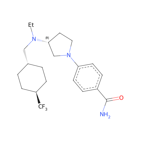 CCN(C[C@H]1CC[C@H](C(F)(F)F)CC1)[C@@H]1CCN(c2ccc(C(N)=O)cc2)C1